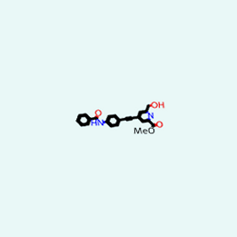 COC(=O)c1cc(C#Cc2ccc(NC(=O)c3ccccc3)cc2)cc(CO)n1